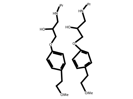 COCCc1ccc(OCC(O)CNC(C)C)cc1.COCCc1ccc(OCC(O)CNC(C)C)cc1